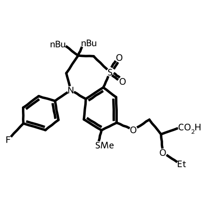 CCCCC1(CCCC)CN(c2ccc(F)cc2)c2cc(SC)c(OCC(OCC)C(=O)O)cc2S(=O)(=O)C1